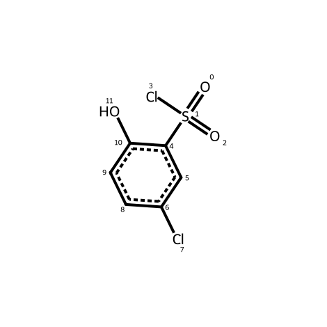 O=S(=O)(Cl)c1cc(Cl)ccc1O